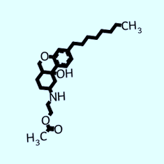 CCCCCCCCc1ccc2c(c1)OCC1CCC(NCCOC(C)=O)CC21O